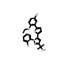 CCOc1ccc(Cl)cc1-c1ccc(-c2cc(C(C)(C)O)nn2-c2ccccc2Cl)s1